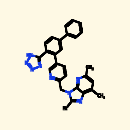 CCc1nc2c(C)cc(C)nc2n1Cc1ccc(-c2cc(-c3ccccc3)ccc2-c2nnn[nH]2)cn1